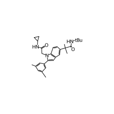 Cc1cc(C)cc(-c2cc3cc(C(C)(C)C(=O)NC(C)(C)C)ccc3n2CC(=O)NC2CC2)c1